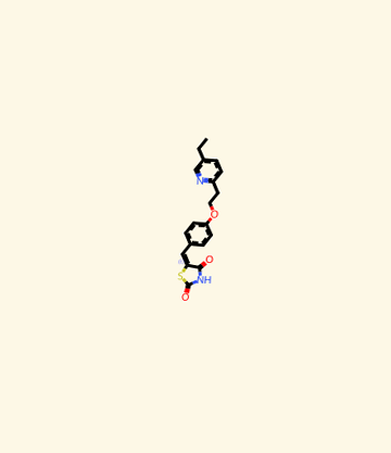 CCc1ccc(CCOc2ccc(/C=C3/SC(=O)NC3=O)cc2)nc1